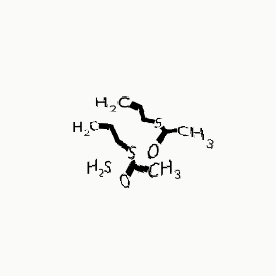 C=CCSC(C)=O.C=CCSC(C)=O.S